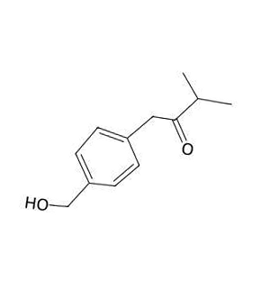 CC(C)C(=O)Cc1ccc(CO)cc1